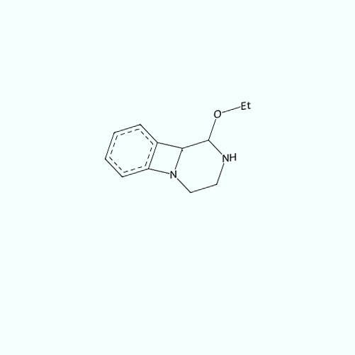 CCOC1NCCN2[C]1c1ccccc12